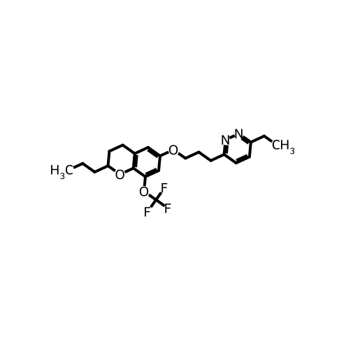 CCCC1CCc2cc(OCCCc3ccc(CC)nn3)cc(OC(F)(F)F)c2O1